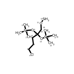 C[Si](C)(C)OC(CCCCl)(CO[SiH3])O[Si](C)(C)C